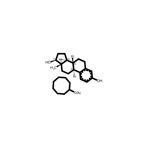 CC(=O)OC1CCCCCCC1.C[C@]12CC[C@@H]3c4ccc(O)cc4CC[C@H]3[C@@H]1CC[C@@H]2O